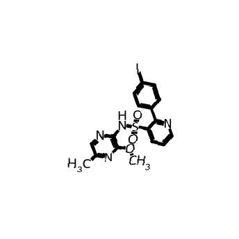 COc1nc(C)cnc1NS(=O)(=O)c1cccnc1-c1ccc(I)cc1